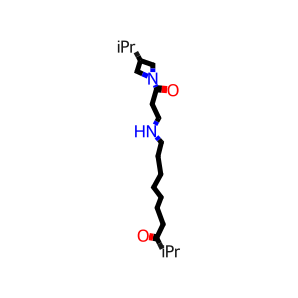 CC(C)C(=O)CCCCCCCNCCC(=O)N1CC(C(C)C)C1